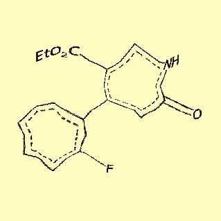 CCOC(=O)c1c[nH]c(=O)cc1-c1ccccc1F